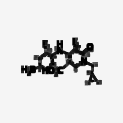 Bc1ccc(Nc2c(C(=O)O)cn(CC3CC3)c(=O)c2F)c(F)c1